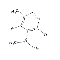 Cc1ccc(Cl)c(N(C)C)c1F